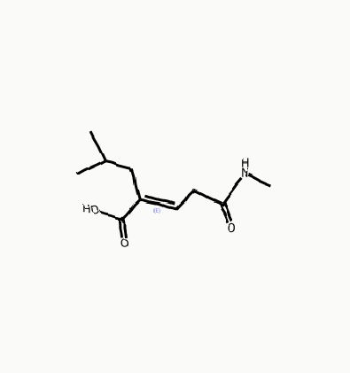 CNC(=O)C/C=C(\CC(C)C)C(=O)O